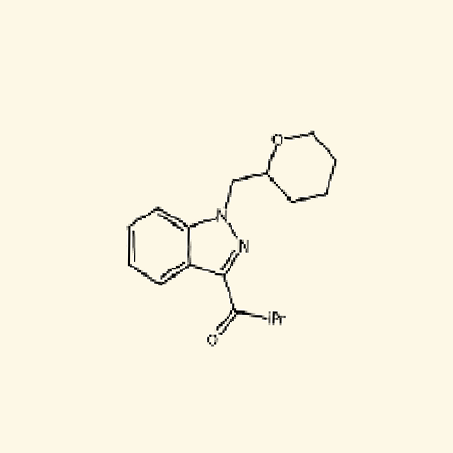 CC(C)C(=O)c1nn(CC2CCCCO2)c2ccccc12